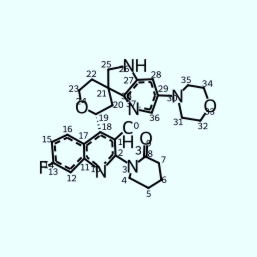 Cc1c(N2CCCCC2=O)nc2cc(F)ccc2c1[C@H]1CC2(CCO1)CNc1cc(N3CCOCC3)cnc12